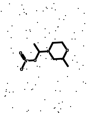 CC1CN(C(C)O[N+](=O)[O-])CCO1